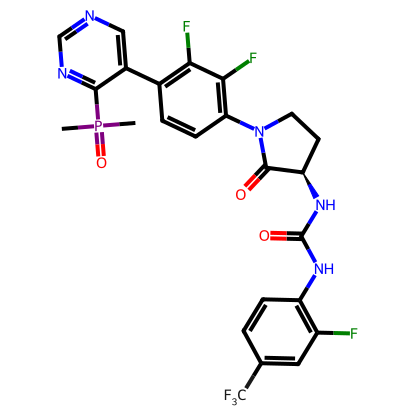 CP(C)(=O)c1ncncc1-c1ccc(N2CC[C@@H](NC(=O)Nc3ccc(C(F)(F)F)cc3F)C2=O)c(F)c1F